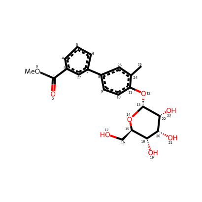 COC(=O)c1cccc(-c2ccc(O[C@H]3O[C@H](CO)[C@@H](O)[C@@H](O)[C@H]3O)c(C)c2)c1